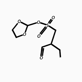 CCC(C=O)CS(=O)(=O)OC1OCCO1